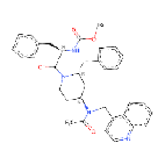 CC(C)(C)OC(=O)N[C@H](Cc1ccccc1)C(=O)N1CC[C@H](N(Cc2ccnc3ccccc23)C(=O)C(F)(F)F)C[C@H]1Cc1ccccc1